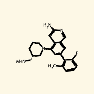 CNC[C@@H]1CCCN(c2cc(-c3c(C)cccc3F)cc3cnc(N)cc23)C1